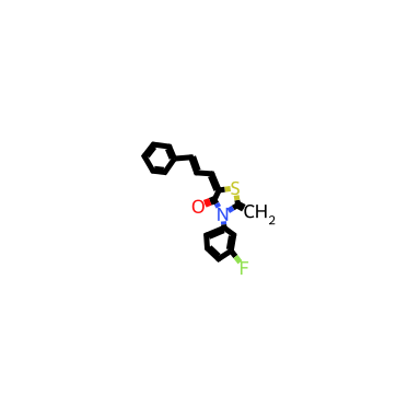 C=c1sc(=CC=Cc2ccccc2)c(=O)n1-c1cccc(F)c1